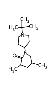 CC1CC(C)C(=O)N(C2CCN(C(C)(C)C)CC2)C1